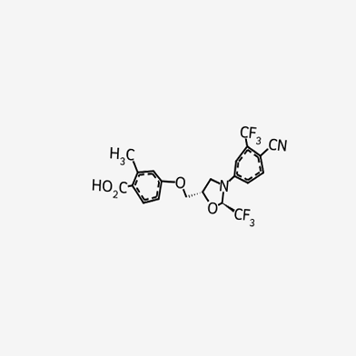 Cc1cc(OC[C@@H]2CN(c3ccc(C#N)c(C(F)(F)F)c3)[C@@H](C(F)(F)F)O2)ccc1C(=O)O